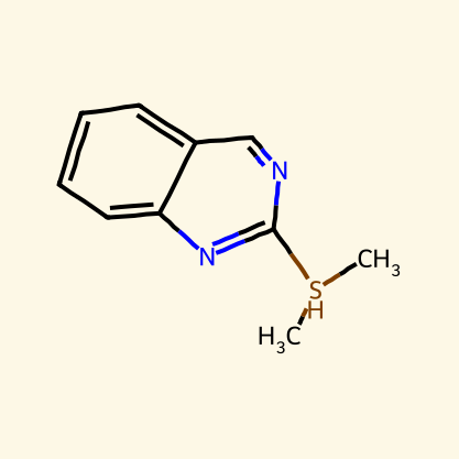 C[SH](C)c1ncc2ccccc2n1